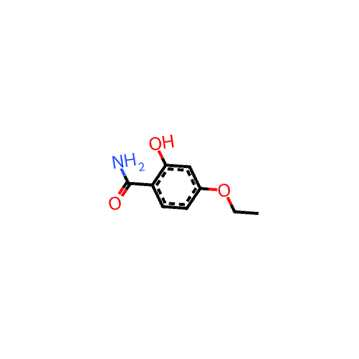 CCOc1ccc(C(N)=O)c(O)c1